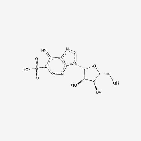 N=c1c2ncn([C@@H]3O[C@H](CO)[C@@H](O)[C@H]3O)c2ncn1S(=O)(=O)O